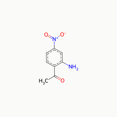 CC(=O)c1ccc([N+](=O)[O-])cc1N